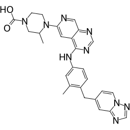 Cc1cc(Nc2ncnc3cnc(N4CCN(C(=O)O)CC4C)cc23)ccc1Cc1ccn2ncnc2c1